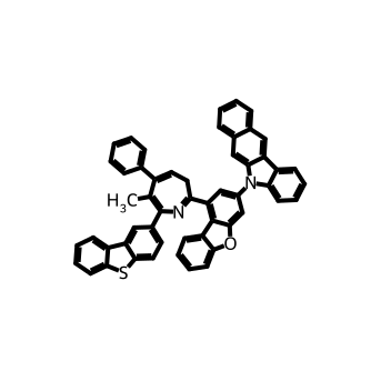 CC1=C(c2ccc3sc4ccccc4c3c2)N=C(c2cc(-n3c4ccccc4c4cc5ccccc5cc43)cc3oc4ccccc4c23)CC=C1c1ccccc1